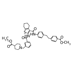 CCOC(=O)C1CCN(Cc2cccc(C(=O)Nc3sc4c(c3C(=O)Nc3ccc(CCc5ccc(C(=O)OC)cc5)cc3)CCCC4)c2)CC1